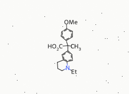 CCN1CCCc2cc(C(C)(C(=O)O)c3ccc(OC)cc3)ccc21